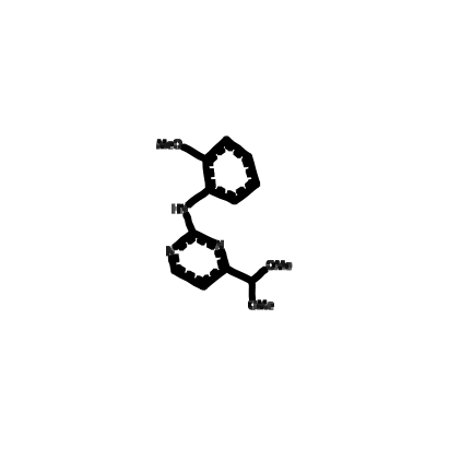 COc1ccccc1Nc1nccc(C(OC)OC)n1